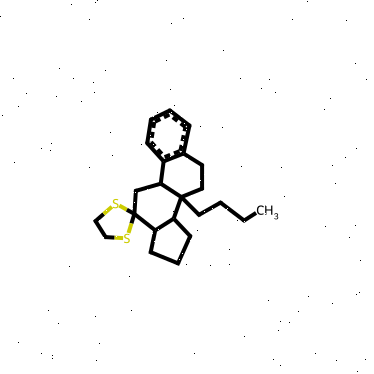 CCCCC12CCc3ccccc3C1CC1(SCCS1)C1CCCC12